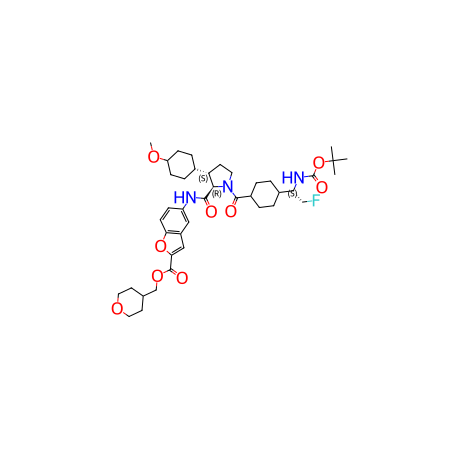 COC1CCC([C@@H]2CCN(C(=O)C3CCC([C@@H](CF)NC(=O)OC(C)(C)C)CC3)[C@H]2C(=O)Nc2ccc3oc(C(=O)OCC4CCOCC4)cc3c2)CC1